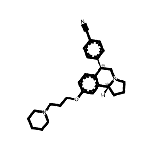 N#Cc1ccc([C@H]2CN3CCC[C@@H]3c3cc(OCCCN4CCCCC4)ccc32)cc1